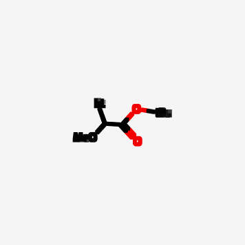 CCC(OC)C(=O)OC(C)(C)C